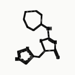 O=C1N=C(NC2CCCCCC2)SC1Cc1c[nH]cn1